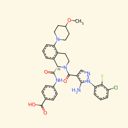 COC1CCN(c2cccc3c2CCN(C(=O)c2cnn(-c4cccc(Cl)c4F)c2N)[C@@H]3C(=O)Nc2ccc(C(=O)O)cc2)CC1